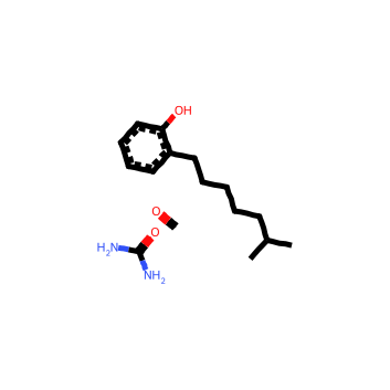 C=O.CC(C)CCCCCc1ccccc1O.NC(N)=O